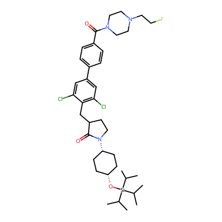 CC(C)[Si](O[C@H]1CC[C@@H](N2CCC(Cc3c(Cl)cc(-c4ccc(C(=O)N5CCN(CCF)CC5)cc4)cc3Cl)C2=O)CC1)(C(C)C)C(C)C